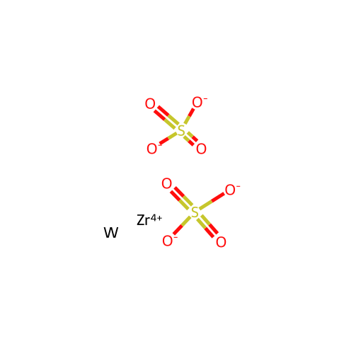 O=S(=O)([O-])[O-].O=S(=O)([O-])[O-].[W].[Zr+4]